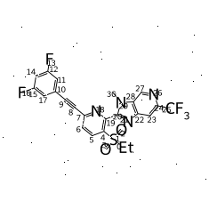 CCS(=O)(=O)c1ccc(C#Cc2cc(F)cc(F)c2)nc1-c1nc2cc(C(F)(F)F)ncc2n1C